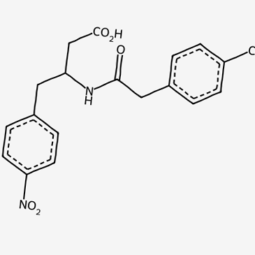 O=C(O)CC(Cc1ccc([N+](=O)[O-])cc1)NC(=O)Cc1ccc(Cl)cc1